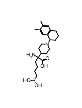 Cc1cc2c(cc1C)C(N1CCC(C(N)(CCCCB(O)O)C(=O)O)CC1)CCC2